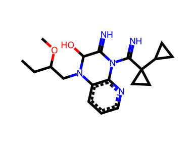 CCC(CN1c2cccnc2N(C(=N)C2(C3CC3)CC2)C(=N)C1O)OC